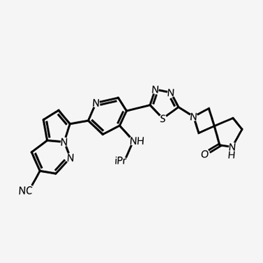 CC(C)Nc1cc(-c2ccc3cc(C#N)cnn23)ncc1-c1nnc(N2CC3(CCNC3=O)C2)s1